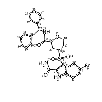 NC(=O)c1[nH]c2ccc(Br)cc2c1S(=O)(=O)N1CCOC(C(=O)NC(c2ccccc2)c2ccccc2)C1